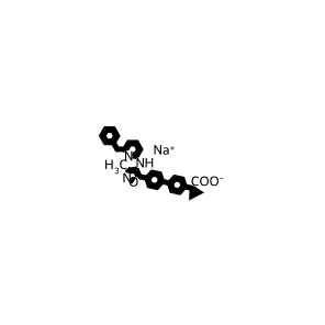 Cc1noc(-c2ccc(-c3ccc(C4(C(=O)[O-])CC4)cc3)cc2)c1Nc1cccc(Cc2ccccc2)n1.[Na+]